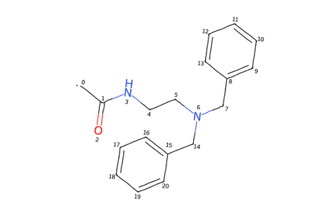 [CH2]C(=O)NCCN(Cc1ccccc1)Cc1ccccc1